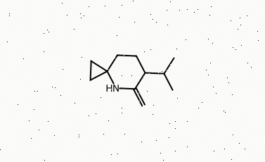 C=C1NC2(CCC1C(C)C)CC2